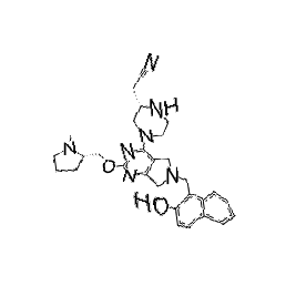 CN1CCC[C@H]1COc1nc2c(c(N3CCN[C@@H](CC#N)C3)n1)CN(Cc1c(O)ccc3ccccc13)C2